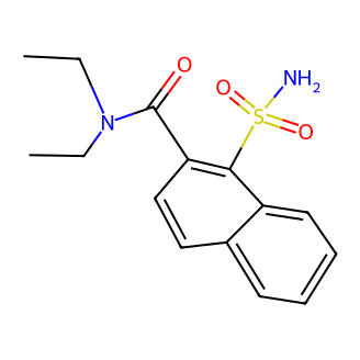 CCN(CC)C(=O)c1ccc2ccccc2c1S(N)(=O)=O